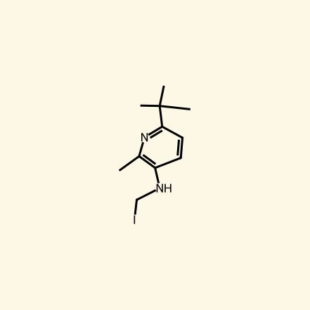 Cc1nc(C(C)(C)C)ccc1NCI